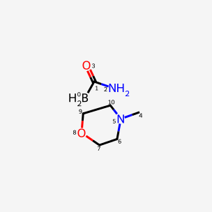 BC(N)=O.CN1CCOCC1